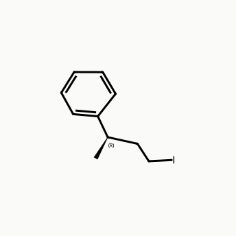 C[C@H](CCI)c1ccccc1